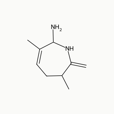 C=C1NC(N)C(C)=CCC1C